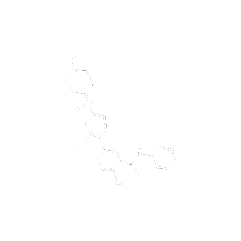 Cc1cc(S(=O)(=O)N2CCN(C)CC2)ccc1-c1cnc(N)c(C(=O)Nc2cccnc2)n1